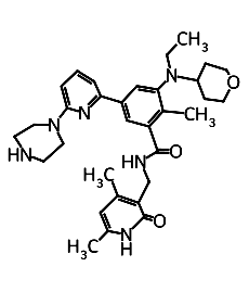 CCN(c1cc(-c2cccc(N3CCNCC3)n2)cc(C(=O)NCc2c(C)cc(C)[nH]c2=O)c1C)C1CCOCC1